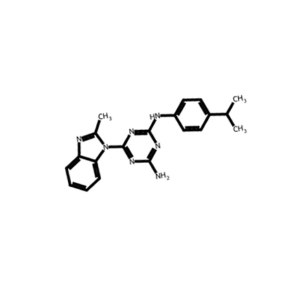 Cc1nc2ccccc2n1-c1nc(N)nc(Nc2ccc(C(C)C)cc2)n1